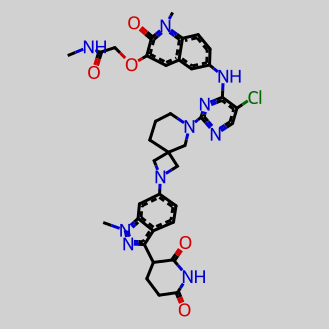 CNC(=O)COc1cc2cc(Nc3nc(N4CCCC5(CN(c6ccc7c(C8CCC(=O)NC8=O)nn(C)c7c6)C5)C4)ncc3Cl)ccc2n(C)c1=O